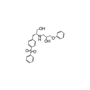 O=S(=O)(c1ccccc1)c1ccc(C[C@@H](CO)NC[C@H](O)COc2ccccc2)cc1